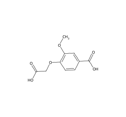 COc1cc(C(=O)O)ccc1OCC(=O)O